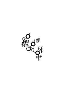 Cc1ccc(S(=O)(=O)n2ccnc2CN2CCC[C@H](OCc3cc(C(F)(F)F)cc(C(F)(F)F)c3)[C@@H]2c2ccccc2)cc1.Cl.Cl